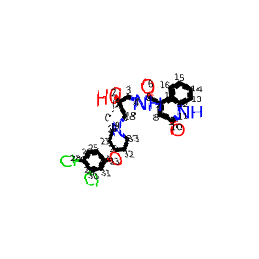 C[C@](O)(CNC(=O)c1cc(=O)[nH]c2ccccc12)CN1CCC(Oc2ccc(Cl)c(Cl)c2)CC1